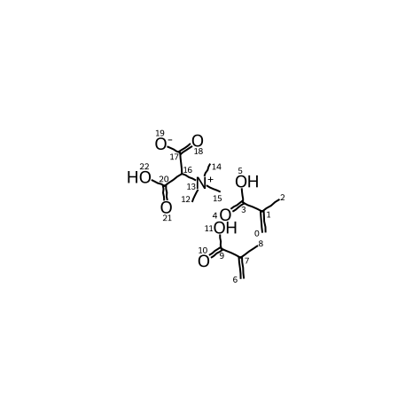 C=C(C)C(=O)O.C=C(C)C(=O)O.C[N+](C)(C)C(C(=O)[O-])C(=O)O